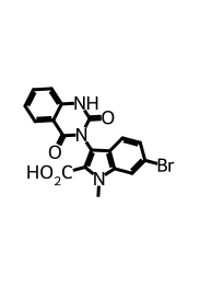 Cn1c(C(=O)O)c(-n2c(=O)[nH]c3ccccc3c2=O)c2ccc(Br)cc21